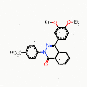 CCOc1ccc(C2=NN(c3ccc(C(=O)O)cc3)C(=O)C3CC=CCC23)cc1OCC